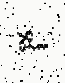 O=C(O)C=C(OS(=O)(=O)C(F)(F)F)C(F)(F)F